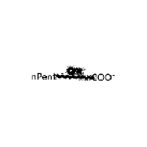 CCCCCC=CCC=CCC=CCC=CCCCC(=O)[O-].C[N+](C)(C)Cc1ccccc1